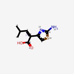 CC(C)/C=C(\C(=O)O)c1csc(N)n1